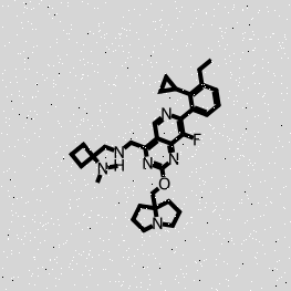 CCc1cccc(-c2ncc3c(CNCC4(N(C)C)CCC4)nc(OCC45CCCN4CCC5)nc3c2F)c1C1CC1